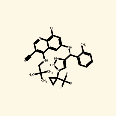 Cc1ccccc1[C@H](Nc1cc(Cl)c2ncc(C#N)c(NCC(C)(C)C)c2c1)C1=CN(C2(C(F)(F)F)CC2)NN1